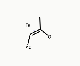 CC(=O)/C=C(/C)O.[Fe]